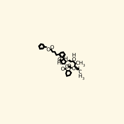 CC#CC[C@H](C)[C@H](O)/C=C/[C@@H]1[C@H]2c3cccc(CCCC(=O)OCc4ccccc4)c3O[C@H]2C[C@H]1OC(=O)[C@@H]1CCCC[C@@H]1C(=O)O